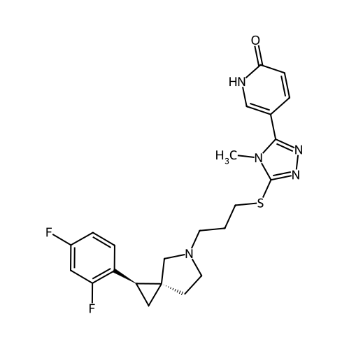 Cn1c(SCCCN2CC[C@@]3(C[C@H]3c3ccc(F)cc3F)C2)nnc1-c1ccc(=O)[nH]c1